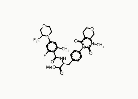 COC(=O)[C@H](Cc1ccc(-n2c(=O)c3c(n(C)c2=O)COCC3)cc1)NC(=O)c1c(C)cc(N2CCOC[C@@H]2C(F)(F)F)cc1F